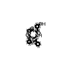 O=C1N[C@H](Cc2c[nH]c3ccccc23)C(=O)N[C@@H](Cc2ccccc2)C(=O)N2CCC[C@@H]2C(=O)N[C@H]1Cc1cccc(O)c1